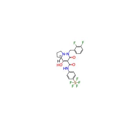 O=C(Nc1ccc(S(F)(F)(F)(F)F)cc1)C1=C(O)[C@@H]2CCCN2N(Cc2cccc(F)c2F)C1=O